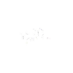 Nc1ncc(B(O)O)cc1S(=O)(=O)Nc1ccc(F)cc1F